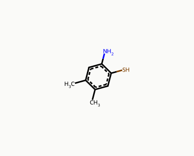 Cc1cc(N)c(S)cc1C